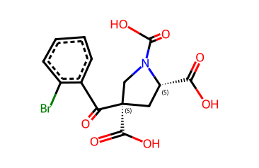 O=C(O)[C@@H]1C[C@@](C(=O)O)(C(=O)c2ccccc2Br)CN1C(=O)O